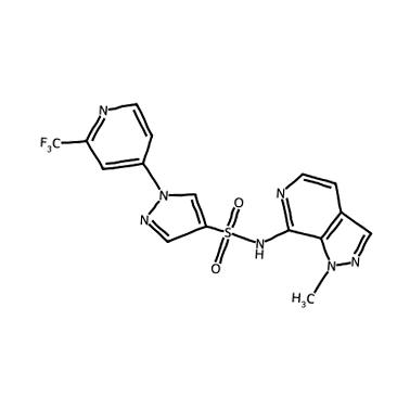 Cn1ncc2ccnc(NS(=O)(=O)c3cnn(-c4ccnc(C(F)(F)F)c4)c3)c21